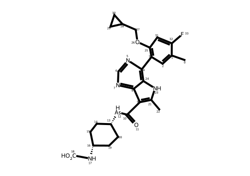 Cc1cc(-c2ncnc3c(C(=O)[AsH][C@H]4CC[C@@H](NC(=O)O)CC4)c(C)[nH]c23)c(OCC2CC2)cc1F